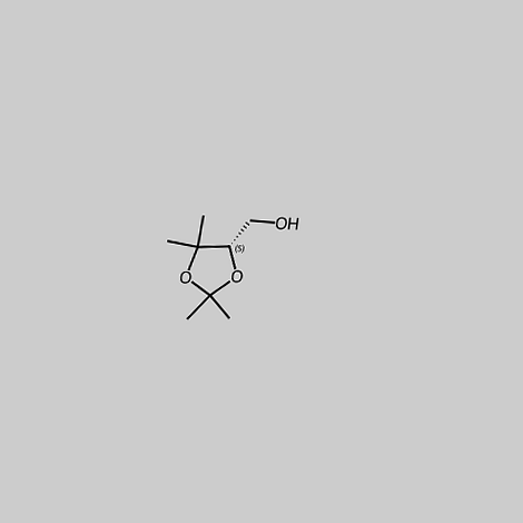 CC1(C)O[C@@H](CO)C(C)(C)O1